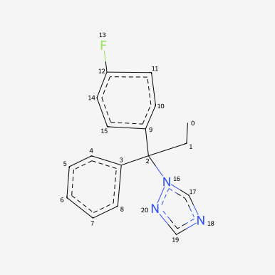 CCC(c1ccccc1)(c1ccc(F)cc1)n1cncn1